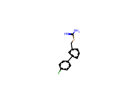 N=C(N)SCc1cccc(-c2ccc(F)cc2)c1